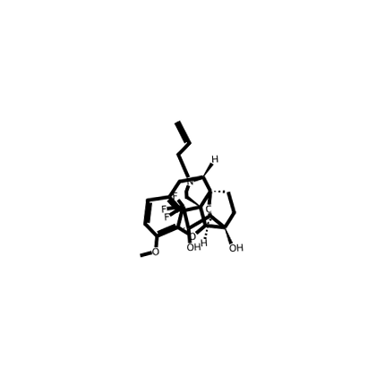 C=CCN1CC[C@]23c4c5ccc(OC)c4O[C@]2(C)[C@@]2(O)CC[C@@]3(C[C@@H]2[C@@](C)(O)C(F)(F)F)[C@H]1C5